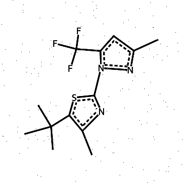 Cc1cc(C(F)(F)F)n(-c2nc(C)c(C(C)(C)C)s2)n1